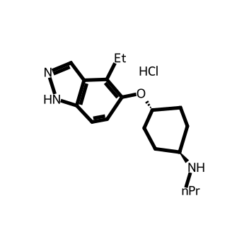 CCCN[C@H]1CC[C@H](Oc2ccc3[nH]ncc3c2CC)CC1.Cl